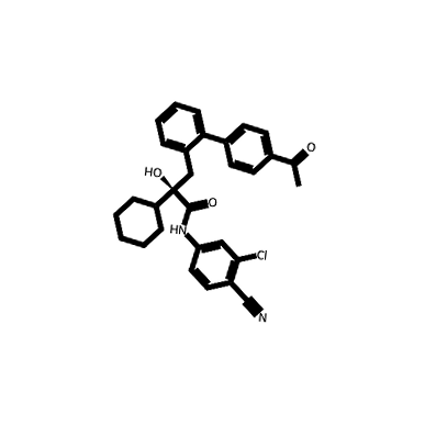 CC(=O)c1ccc(-c2ccccc2C[C@](O)(C(=O)Nc2ccc(C#N)c(Cl)c2)C2CCCCC2)cc1